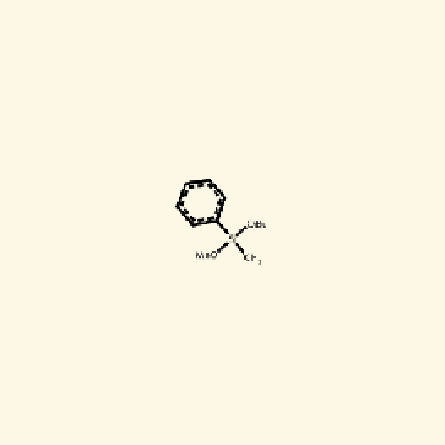 CO[Si](C)(OCC(C)C)c1ccccc1